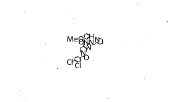 COc1ccccc1-n1c(NCc2ccccn2)nc2c(c1=O)CCN(C(=O)c1ccc(Cl)c(Cl)c1)C2